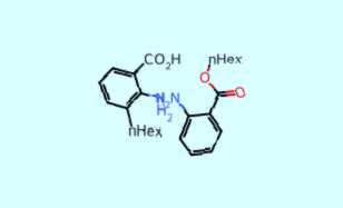 CCCCCCOC(=O)c1ccccc1N.CCCCCCc1cccc(C(=O)O)c1N